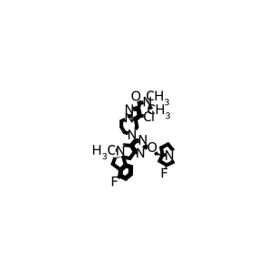 CN(C)C(=O)c1nn2c(c1Cl)CN(c1nc(OC[C@@]34CCCN3C[C@H](F)C4)nc3c1CN(C)[C@@]1(CCc4c(F)cccc41)C3)CCC2